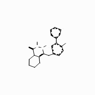 CCN1C(=O)C2CCCCC2=C(Cc2ccc(F)c(-c3ccccc3)c2)N1CC